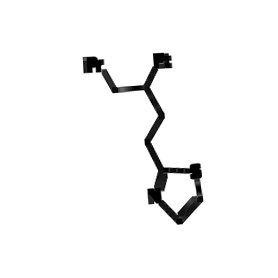 CCC(CCc1nccs1)CC(C)C